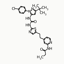 CCC(=O)Nc1cc(CCc2cnc(NC(=O)Nc3cc(C(C)(C)C)nn3-c3ccc(Cl)cc3)s2)ccn1